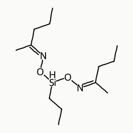 CCCC(C)=NO[SiH](CCC)ON=C(C)CCC